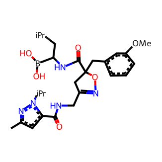 COc1cccc(CC2(C(=O)NC(CC(C)C)B(O)O)CC(CNC(=O)c3cc(C)nn3C(C)C)=NO2)c1